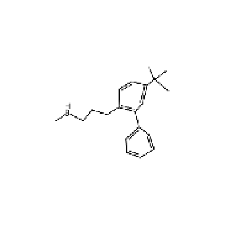 CBCCCc1ccc(C(C)(C)C)cc1-c1ccccc1